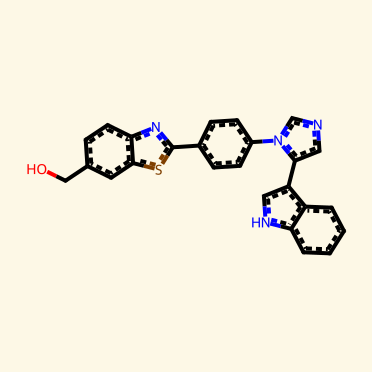 OCc1ccc2nc(-c3ccc(-n4cncc4-c4c[nH]c5ccccc45)cc3)sc2c1